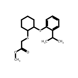 COC(=O)CSC1CCCCC1Sc1ccccc1C(C)C